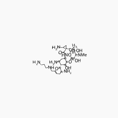 CN[C@@H]1[C@@H](O)[C@@H](O[C@H]2[C@H](NC(=O)C3(O)CC3N)C[C@H](N)C([C@H]3OC(CNCCCN)=CC[C@H]3N)[C@@H]2O)OC[C@]1(C)O